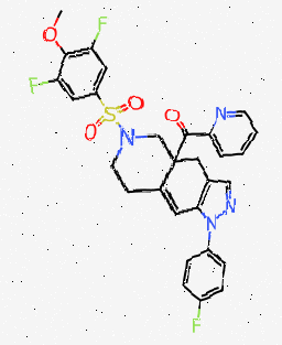 COc1c(F)cc(S(=O)(=O)N2CCC3=Cc4c(cnn4-c4ccc(F)cc4)CC3(C(=O)c3ccccn3)C2)cc1F